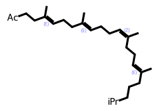 CC(=O)CC/C(C)=C/CC/C(C)=C/CC/C=C(/C)CC/C=C(\C)CCCC(C)C